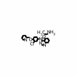 C[C@@H](CN)Oc1cccc2ncnc(Nc3ccc(OCc4ccccn4)c(Cl)c3)c12